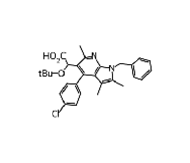 Cc1nc2c(c(C)c(C)n2Cc2ccccc2)c(-c2ccc(Cl)cc2)c1C(OC(C)(C)C)C(=O)O